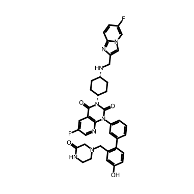 O=C1CN(Cc2cc(O)ccc2-c2cccc(-n3c(=O)n([C@H]4CC[C@@H](NCc5cn6cc(F)ccc6n5)CC4)c(=O)c4cc(F)cnc43)c2)CCN1